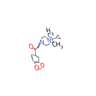 CC(C)(C1CC1)N1CCN(C=CC(=O)c2ccc3c(c2)OCO3)CC1